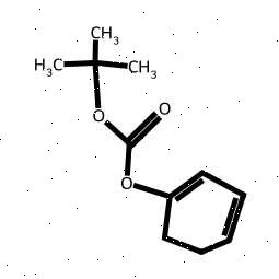 CC(C)(C)OC(=O)OC1=CC=CCC1